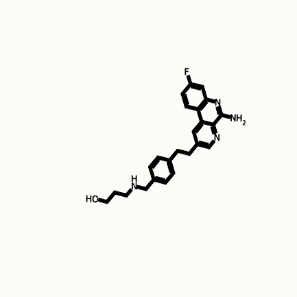 Nc1nc2cc(F)ccc2c2cc(CCc3ccc(CNCCCO)cc3)cnc12